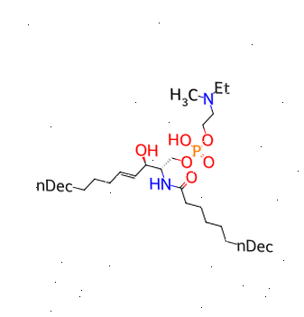 CCCCCCCCCCCCC/C=C/[C@@H](O)[C@H](COP(=O)(O)OCCN(C)CC)NC(=O)CCCCCCCCCCCCCCC